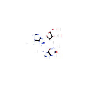 Cn1c(=O)[nH]c2ncn(C)c2c1=O.Nc1ncnc2c1ncn2[C@@H]1O[C@H](CO)[C@@H](O)[C@H]1O